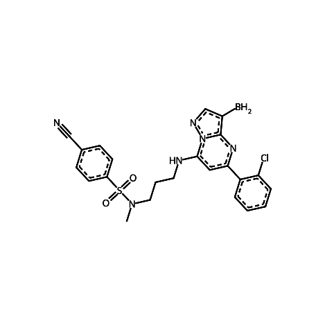 Bc1cnn2c(NCCCN(C)S(=O)(=O)c3ccc(C#N)cc3)cc(-c3ccccc3Cl)nc12